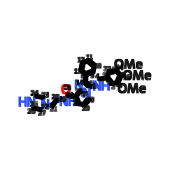 COc1cc(CNc2c(-c3ccccc3)nc3c(C(=O)NCCN4CCNCC4)cccn23)cc(OC)c1OC